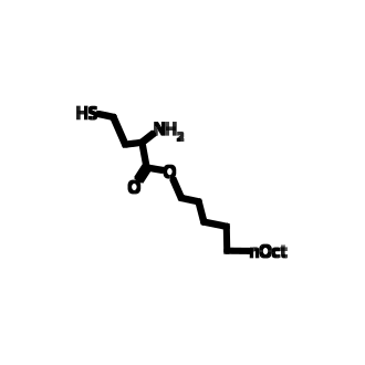 CCCCCCCCCCCCCOC(=O)C(N)CCS